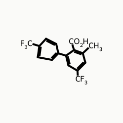 Cc1cc(C(F)(F)F)cc(-c2ccc(C(F)(F)F)cc2)c1C(=O)O